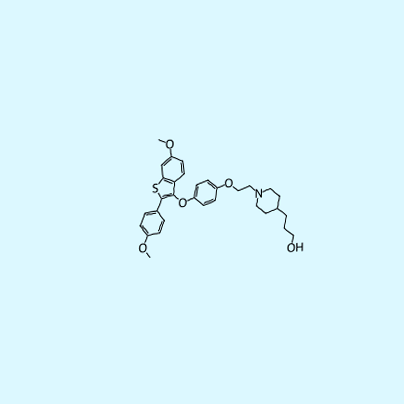 COc1ccc(-c2sc3cc(OC)ccc3c2Oc2ccc(OCCN3CCC(CCCO)CC3)cc2)cc1